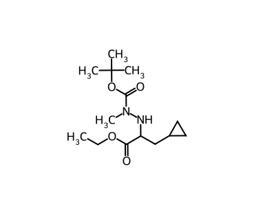 CCOC(=O)C(CC1CC1)NN(C)C(=O)OC(C)(C)C